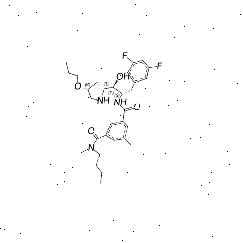 CCCCN(C)C(=O)c1cc(C)cc(C(=O)N[C@@H](Cc2cc(F)cc(F)c2)[C@H](O)[C@H]2C[C@@H](OCCC)CN2)c1